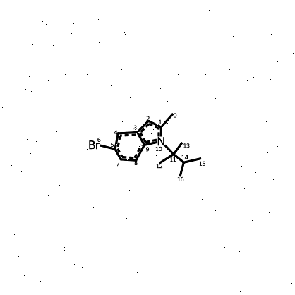 Cc1cc2cc(Br)ccc2n1C(C)(C)C(C)C